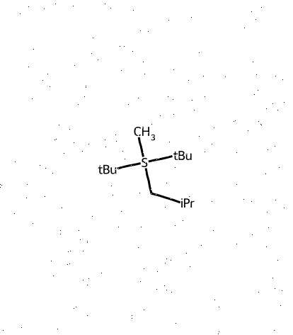 CC(C)CS(C)(C(C)(C)C)C(C)(C)C